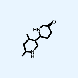 CC1CC(C)C(C2CCC(=O)CN2)CN1